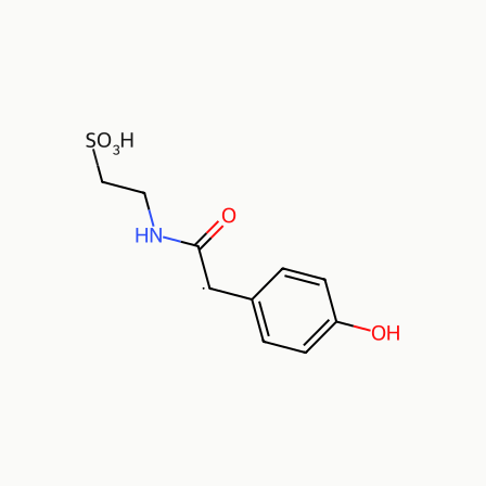 O=C([CH]c1ccc(O)cc1)NCCS(=O)(=O)O